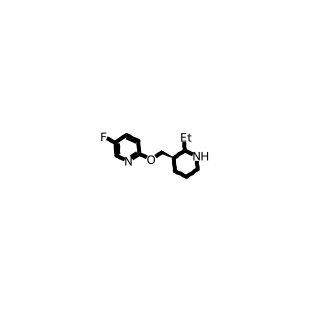 CCC1NCCC[C@H]1COc1ccc(F)cn1